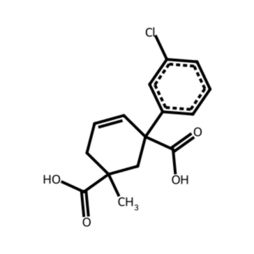 CC1(C(=O)O)CC=CC(C(=O)O)(c2cccc(Cl)c2)C1